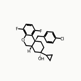 O[C@@]1(C2CC2)CC[C@@]2(Cc3ccc(Cl)cc3)c3c(F)ccc(F)c3OC[C@H]2C1